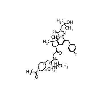 CC(=O)N1CCN(C[C@H]2CN[C@H](C)CN2CC(=O)N2CC(C)(C)c3c2cc(Cc2ccc(F)cc2)c2nn(CC(C)(C)O)c(=O)n32)[C@H](C)C1